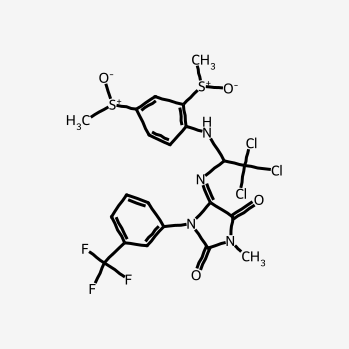 CN1C(=O)C(=NC(Nc2ccc([S+](C)[O-])cc2[S+](C)[O-])C(Cl)(Cl)Cl)N(c2cccc(C(F)(F)F)c2)C1=O